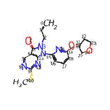 C=CCn1c(=O)c2cnc(SC)nc2n1-c1cccc(O[C@@H]2CCOC2)n1